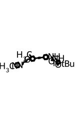 Cc1cc(C#Cc2ccc(NC(=O)Nc3cc(C(C)(C)C)on3)cc2)ccc1OCCCN1CCN(C)CC1